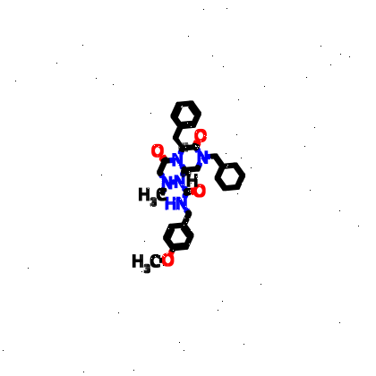 COc1ccc(CNC(=O)N2[C@H]3CN(CC4CCCCC4)C(=O)[C@H](Cc4ccccc4)N3C(=O)CN2C)cc1